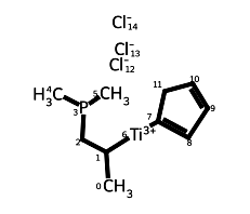 C[CH](CP(C)C)[Ti+3][C]1=CC=CC1.[Cl-].[Cl-].[Cl-]